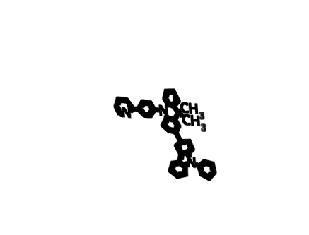 CC1(C)c2ccccc2N(c2ccc(-c3ccccn3)cc2)c2ccc(-c3ccc4c(c3)c3ccccc3n4-c3ccccc3)cc21